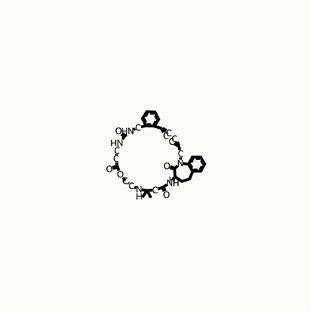 CC1(C)CC(=O)N[C@@H]2CCc3ccccc3N(Cc3ccc(cc3)-c3ccccc3CNC(=O)NCCC(=O)OCCN1)C2=O